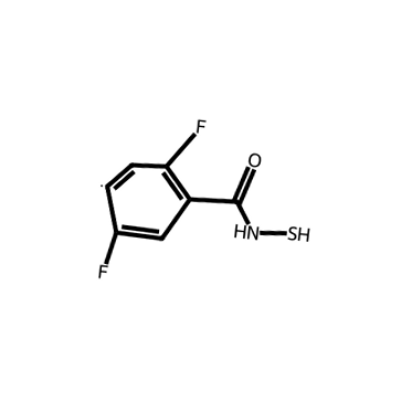 O=C(NS)c1cc(F)[c]cc1F